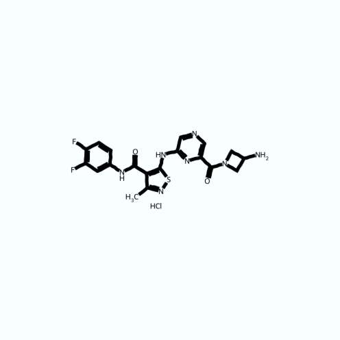 Cc1nsc(Nc2cncc(C(=O)N3CC(N)C3)n2)c1C(=O)Nc1ccc(F)c(F)c1.Cl